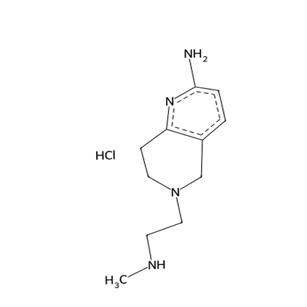 CNCCN1CCc2nc(N)ccc2C1.Cl